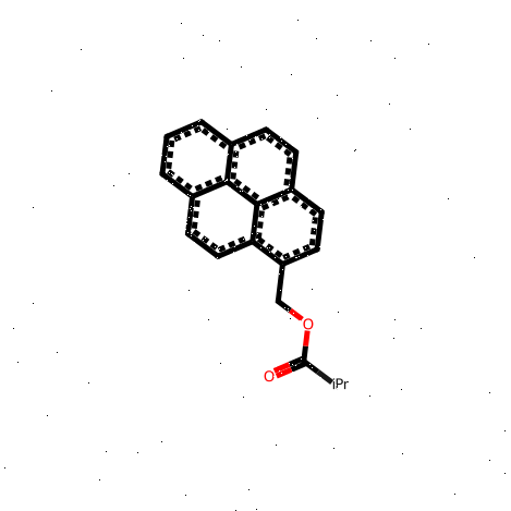 CC(C)C(=O)OCc1ccc2ccc3cccc4ccc1c2c34